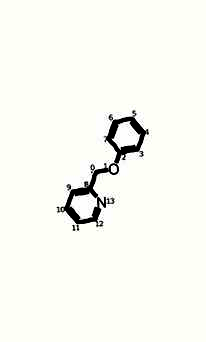 [CH](Oc1ccccc1)c1ccccn1